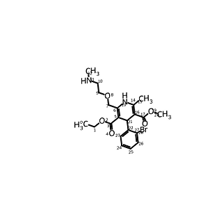 CCOC(=O)C1=C(COCCNC)NC(C)=C(C(=O)OC)C1c1ccccc1Br